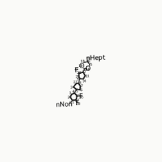 CCCCCCCCCc1ccc(-c2ccc(-c3ccc(C4OCC(CCCCCCC)CO4)c(F)c3)cc2)c(F)c1F